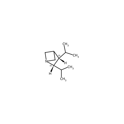 CC(C)[C@H]1C2CN(C2)[C@H]1C(C)C